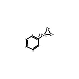 c1ccc([SiH]2OO2)cc1